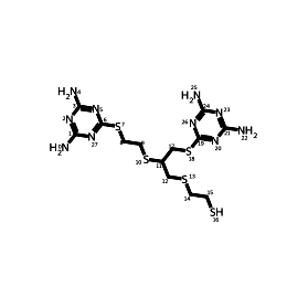 Nc1nc(N)nc(SCCSC(CSCCS)CSc2nc(N)nc(N)n2)n1